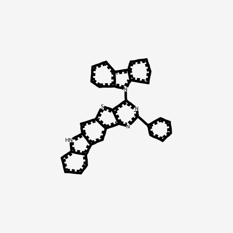 c1ccc(-c2nc(-n3c4ccccc4c4ccccc43)c3sc4cc5[nH]c6ccccc6c5cc4c3n2)cc1